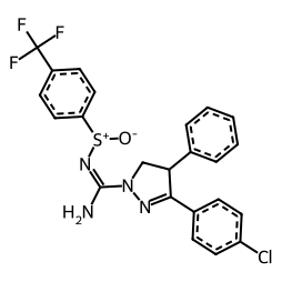 N/C(=N/[S+]([O-])c1ccc(C(F)(F)F)cc1)N1CC(c2ccccc2)C(c2ccc(Cl)cc2)=N1